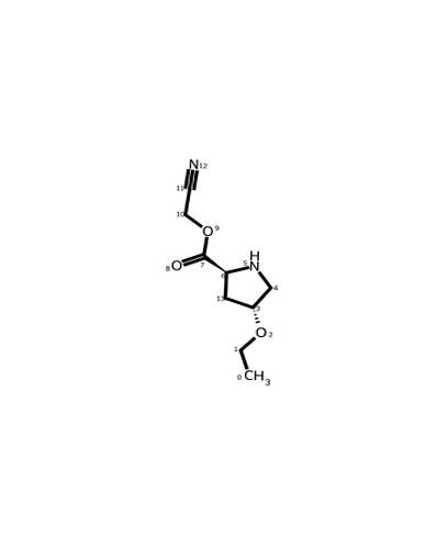 CCO[C@H]1CN[C@H](C(=O)OCC#N)C1